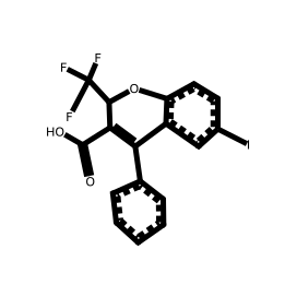 O=C(O)C1=C(c2ccccc2)c2cc(I)ccc2OC1C(F)(F)F